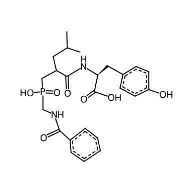 CC(C)CC(CP(=O)(O)CNC(=O)c1ccccc1)C(=O)N[C@@H](Cc1ccc(O)cc1)C(=O)O